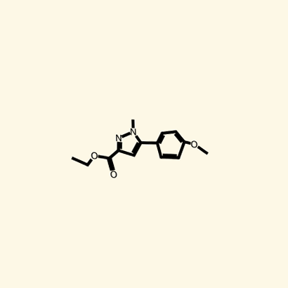 CCOC(=O)c1cc(-c2ccc(OC)cc2)n(C)n1